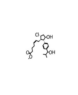 COC(=O)CCC/C=C\C[C@@H]1[C@@H](c2ccc(C(O)C(C)C)cc2)[C@H](O)C[C@H]1Cl